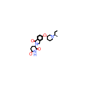 CC[C@@H](C)N1CCC[C@@H](Oc2ccc3c(c2)CN(C2CCC(=O)NC2=O)C3=O)C1